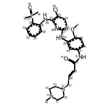 COc1ccc(NC(=O)C=CCN2CCN(C)CC2)cc1Nc1ncc(Cl)c(Nc2ccccc2P(C)(C)=O)n1